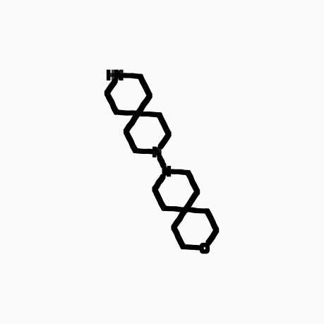 C1CC2(CCN1)CCN(N1CCC3(CCOCC3)CC1)CC2